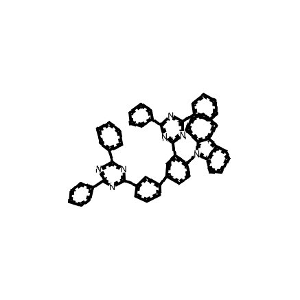 c1ccc(-c2nc(-c3ccccc3)nc(-c3cccc(-c4ccc(-n5c6ccccc6c6ccccc65)c(-c5nc(-c6ccccc6)nc(-c6ccccc6)n5)c4)c3)n2)cc1